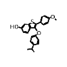 COc1ccc(-c2sc3cc(O)ccc3c2Oc2ccc(C(C)C)cc2)cc1